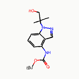 CC(C)(C)OC(=O)Nc1cccc2c1cnn2C(C)(C)CO